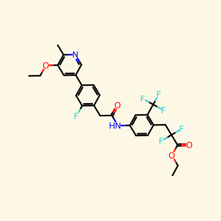 CCOC(=O)C(F)(F)Cc1ccc(NC(=O)Cc2ccc(-c3cnc(C)c(OCC)c3)cc2F)cc1C(F)(F)F